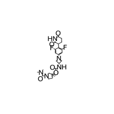 CN(C)C(=O)N1CC[C@@H](OC(=O)NC2CN(c3cc(F)c(C4CCC(=O)NC4=O)c(F)c3)C2)C1